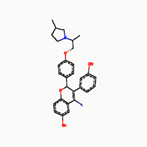 CC1CCN(C(C)COc2ccc(C3Oc4ccc(O)cc4C(I)=C3c3cccc(O)c3)cc2)C1